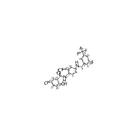 O=C(Nc1ccc(NCc2cc(F)cc(C(F)(F)F)c2)cc1Cl)c1cc(Cl)ccc1O